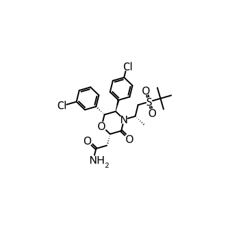 C[C@@H](CS(=O)(=O)C(C)(C)C)N1C(=O)[C@H](CC(N)=O)O[C@H](c2cccc(Cl)c2)[C@H]1c1ccc(Cl)cc1